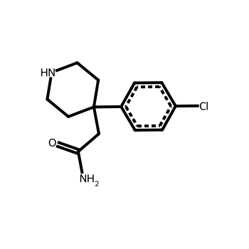 NC(=O)CC1(c2ccc(Cl)cc2)CCNCC1